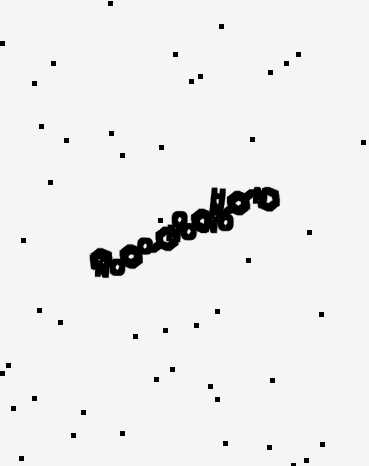 O=C(Nc1ccc(OC(=O)N2CCC(COc3ccc(Oc4ccccn4)cc3)CC2)cn1)c1ccc(CN2CCCCC2)cc1